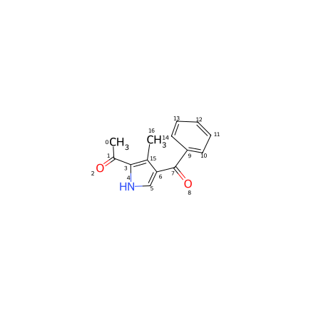 CC(=O)c1[nH]cc(C(=O)c2ccccc2)c1C